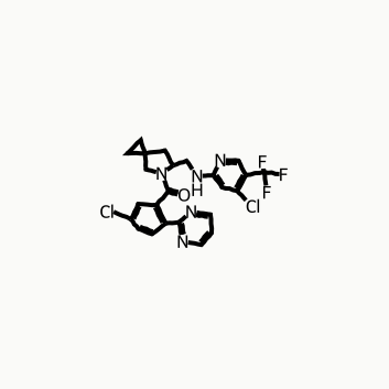 O=C(c1cc(Cl)ccc1-c1ncccn1)N1CC2(CC2)CC1CNc1cc(Cl)c(C(F)(F)F)cn1